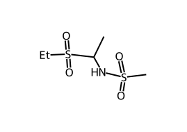 CCS(=O)(=O)C(C)NS(C)(=O)=O